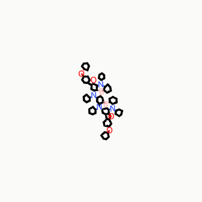 c1ccc(Oc2ccc3c(c2)oc2c4c5c(cc23)N(c2ccccc2)c2cc3c(cc2B5c2ccccc2N4c2ccccc2)B2c4ccccc4N(c4ccccc4)c4c2c(cc2c4oc4cc(Oc5ccccc5)ccc42)N3c2ccccc2)cc1